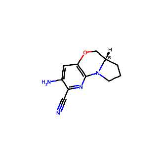 N#Cc1nc2c(cc1N)OC[C@@H]1CCCN21